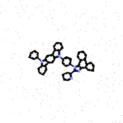 c1ccc(-n2c3ccccc3c3cc4c(cc32)c2ccccc2n4-c2ccc(-n3c(-c4ccccn4)nc4c5ccccc5c5ccccc5c43)cc2)cc1